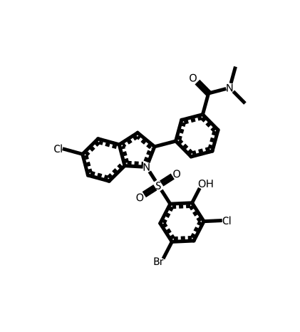 CN(C)C(=O)c1cccc(-c2cc3cc(Cl)ccc3n2S(=O)(=O)c2cc(Br)cc(Cl)c2O)c1